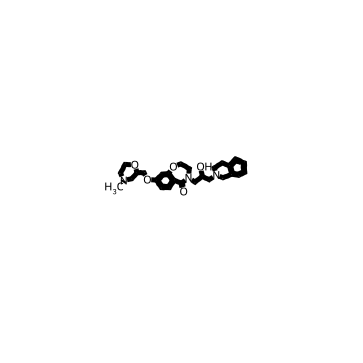 CN1CCOC(COc2ccc3c(c2)OCCN(CC(O)CN2CCc4ccccc4C2)C3=O)C1